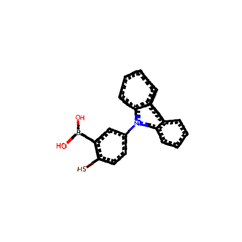 OB(O)c1cc(-n2c3ccccc3c3ccccc32)ccc1S